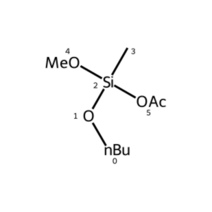 CCCCO[Si](C)(OC)OC(C)=O